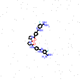 N=C(N)c1cc2[nH]c(-c3ccc(NC(=O)[C@@H]4CCCN4C(=O)[C@@H]4CCCN4C(=O)c4ccc(-c5nc6cc(F)c(C(=N)N)cc6[nH]5)cc4)cc3)nc2cc1F